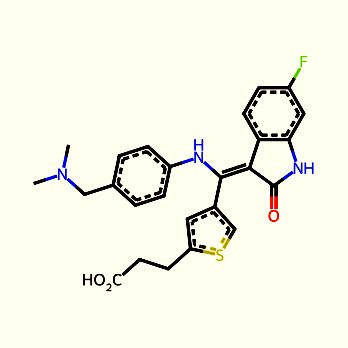 CN(C)Cc1ccc(NC(=C2C(=O)Nc3cc(F)ccc32)c2csc(CCC(=O)O)c2)cc1